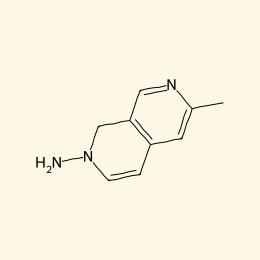 Cc1cc2c(cn1)CN(N)C=C2